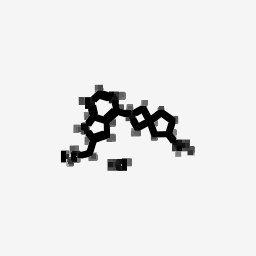 Cl.NC1CCC2(C1)CN(c1ncnc3sc(CC(F)(F)F)cc13)C2